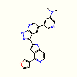 CN(C)c1cncc(-c2cnc3[nH]nc(-c4cc5c(-c6ccoc6)nccc5[nH]4)c3c2)c1